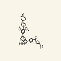 COc1cc(-c2cnc3[nH]cc(-c4ccc(C(=O)N5CC(N(C)C)C5)cc4)c3n2)cc(OC)c1N1CCN(C2CCN(C)CC2)CC1